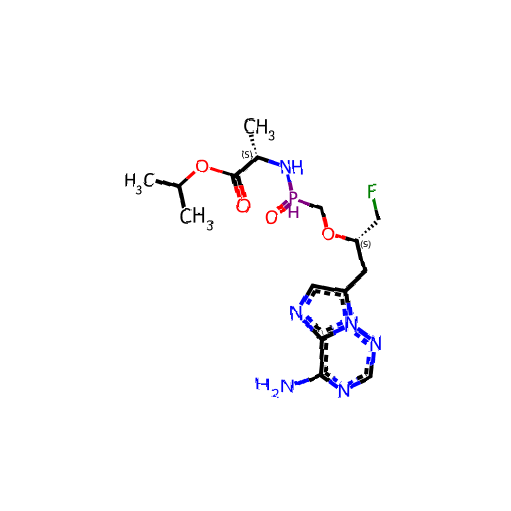 CC(C)OC(=O)[C@H](C)N[PH](=O)CO[C@H](CF)Cc1cnc2c(N)ncnn12